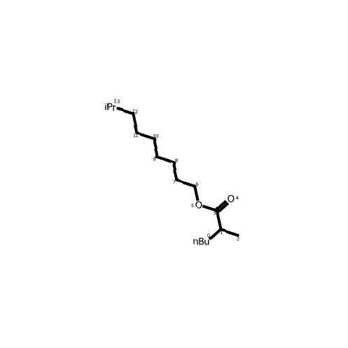 CCCCC(C)C(=O)OCCCCCCCC(C)C